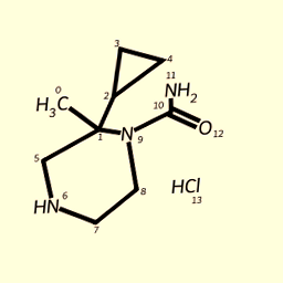 CC1(C2CC2)CNCCN1C(N)=O.Cl